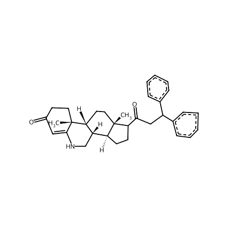 C[C@]12CCC(=O)C=C1NC[C@@H]1[C@H]2CC[C@]2(C)C(C(=O)CC(c3ccccc3)c3ccccc3)CC[C@@H]12